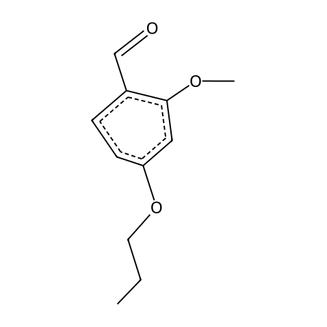 CCCOc1ccc(C=O)c(OC)c1